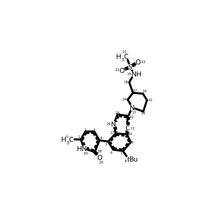 Cc1ccc(-c2cc(C(C)(C)C)cc3cc(N4CCCC(CNS(C)(=O)=O)C4)cnc23)c(=O)[nH]1